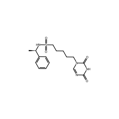 C[C@@H](NS(=O)(=O)CCCCCn1cnc(=O)[nH]c1=O)c1ccccc1